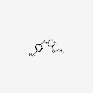 COC(=O)CN(C)Sc1ccc(C)cc1